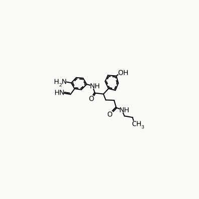 CCCNC(=O)CCC(C(=O)Nc1ccc(N)c(C=N)c1)c1ccc(O)cc1